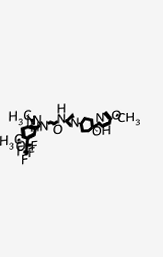 COc1ccc([C@]2(O)CC[C@H](N3CC(NC(=O)CNc4nn(C)c5ccc(C(F)(OC)C(F)(F)F)cc45)C3)CC2)nc1